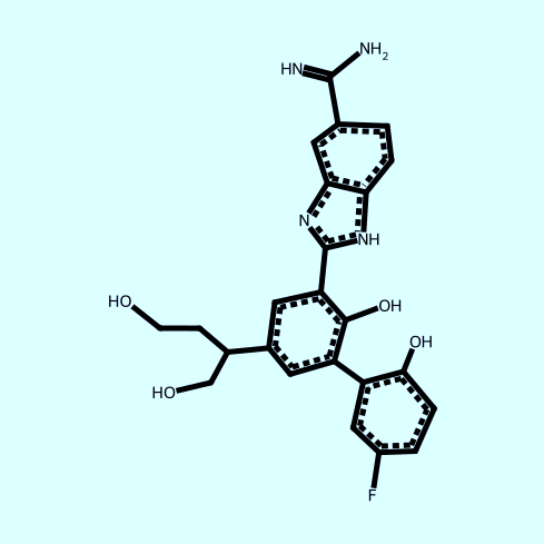 N=C(N)c1ccc2[nH]c(-c3cc(C(CO)CCO)cc(-c4cc(F)ccc4O)c3O)nc2c1